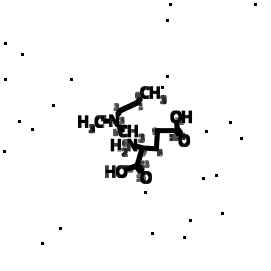 CCCN(C)C.NC(CCC(=O)O)C(=O)O